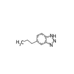 CCCc1ccc2[nH]nnc2c1